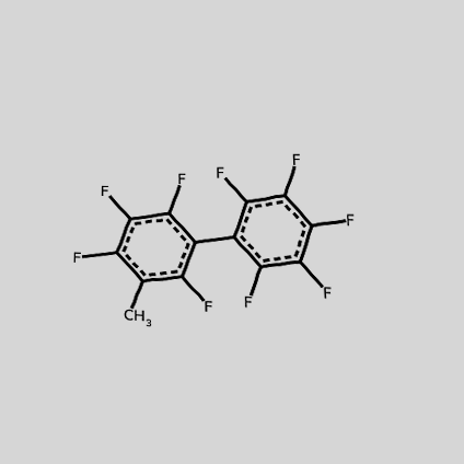 Cc1c(F)c(F)c(F)c(-c2c(F)c(F)c(F)c(F)c2F)c1F